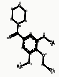 CCOc1c(OC)cc(C(=S)N2CCOCC2)cc1OC